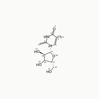 C=C1NC(=O)C([123I])=CN1[C@@H]1O[C@H](CO)C(O)[C@H]1O